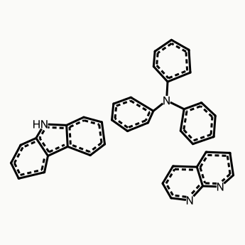 c1ccc(N(c2ccccc2)c2ccccc2)cc1.c1ccc2c(c1)[nH]c1ccccc12.c1cnc2ncccc2c1